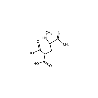 CNC(CC(C(=O)O)C(=O)O)C(C)=O